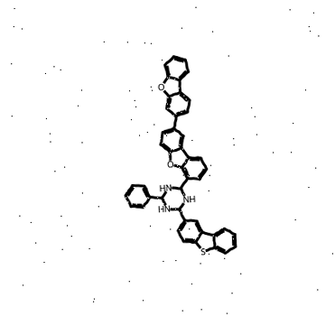 c1ccc(C2NC(c3ccc4sc5ccccc5c4c3)NC(c3cccc4c3oc3ccc(-c5ccc6c(c5)oc5ccccc56)cc34)N2)cc1